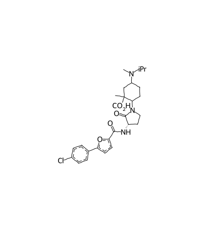 CC(C)N(C)C1CCC(N2CC[C@H](NC(=O)c3ccc(-c4ccc(Cl)cc4)o3)C2=O)C(C)(C(=O)O)C1